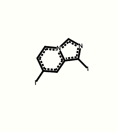 Ic1ccn2cnc(I)c2c1